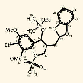 CCc1c(OC)cc([C@@H](O[Si](C)(C)C(C)(C)C)[C@H](COS(C)(=O)=O)CC2Oc3ccccc3O2)cc1OC